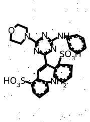 Nc1cccc(S(=O)(=O)O)c1C=C(c1nc(Nc2ccccc2)nc(N2CCOCC2)n1)c1ccccc1S(=O)(=O)O